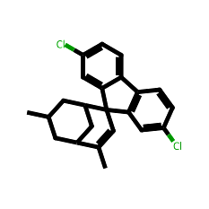 CC1=CC2(c3cc(Cl)ccc3-c3ccc(Cl)cc32)C2CC(C)CC1C2